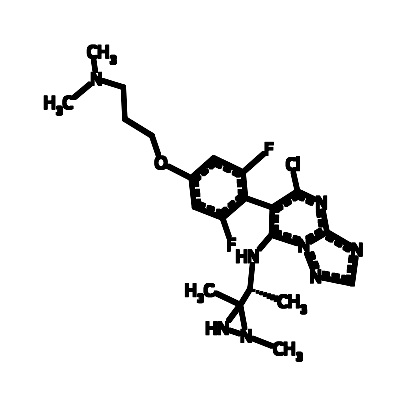 C[C@@H](Nc1c(-c2c(F)cc(OCCCN(C)C)cc2F)c(Cl)nc2ncnn12)C1(C)NN1C